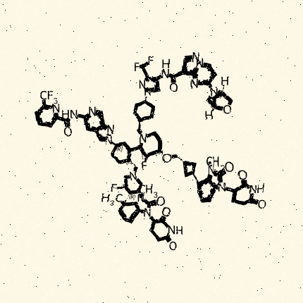 CN1C(=O)N(C2CCC(=O)NC2=O)C2=CC=CC(C)([C@H]3CCN(C[C@@H]4CC[C@@H](n5cc6cc(NC(=O)c7cccc(C(F)(F)F)n7)ncc6n5)CC4C4[C@H](F)[C@@H](OC[C@H]5C[C@H](c6cccc7c6n(C)c(=O)n7C6CCC(=O)NC6=O)C5)CCN4C[C@H]4CC[C@H](n5cc(NC(=O)c6cnn7ccc(N8C[C@H]9C[C@@H]8CO9)nc67)c(C(F)F)n5)CC4)C[C@@H]3F)C21